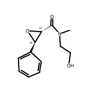 CN(CCO)C(=O)[C@H]1O[C@@H]1c1ccccc1